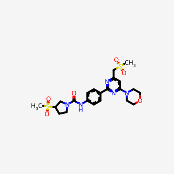 CS(=O)(=O)Cc1cc(N2CCOCC2)nc(-c2ccc(NC(=O)N3CCC(S(C)(=O)=O)C3)cc2)n1